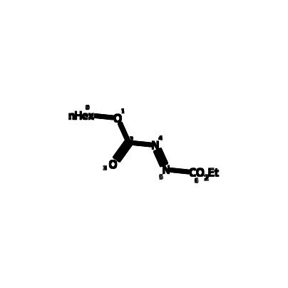 CCCCCCOC(=O)/N=N/C(=O)OCC